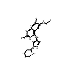 CCOc1cc2c(Nc3cnn(C4CCCCO4)c3)nc(Cl)nc2cc1C